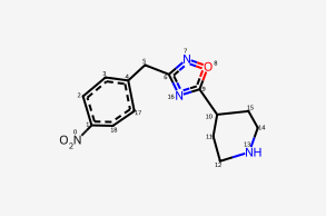 O=[N+]([O-])c1ccc(Cc2noc(C3CCNCC3)n2)cc1